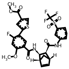 COC(=O)c1csc(-c2cc(C(=O)N[C@H]3[C@@H](C(=O)Nc4cccc(S(=O)(=O)C(F)(F)F)c4)[C@@H]4C=C[C@H]3C4)c(OC)cc2F)c1